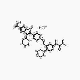 CC(C)C(=O)Nc1ccc(N2CCOCC2)c(COc2ccc(-c3c(C4CCCCC4)c4sc(C(=O)O)cc4n3C)cc2)c1.Cl